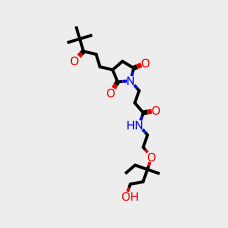 CCC(C)(CCO)OCCNC(=O)CCN1C(=O)CC(CCC(=O)C(C)(C)C)C1=O